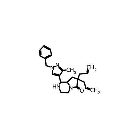 C=CCC1(CC=C)CC2C(c3cn(Cc4ccccc4)nc3C)NCCN2C1=O